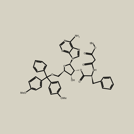 COc1ccc(C(OC[C@H]2O[C@@H](n3cnc4c(N)ncnc43)[C@H](OC(=O)[C@H](Cc3ccccc3)NC(=O)CC(=O)OC(C)(C)C)[C@@H]2O)(c2ccccc2)c2ccc(OC)cc2)cc1